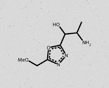 COCc1nnc(C(O)C(C)N)o1